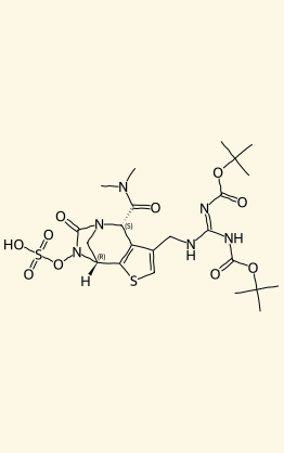 CN(C)C(=O)[C@@H]1c2c(CNC(=NC(=O)OC(C)(C)C)NC(=O)OC(C)(C)C)csc2[C@H]2CN1C(=O)N2OS(=O)(=O)O